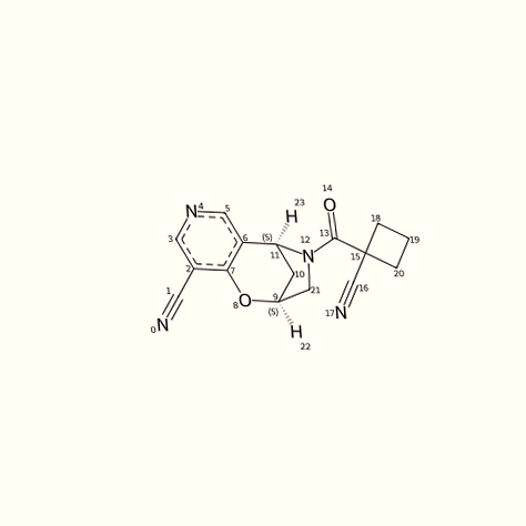 N#Cc1cncc2c1O[C@H]1C[C@@H]2N(C(=O)C2(C#N)CCC2)C1